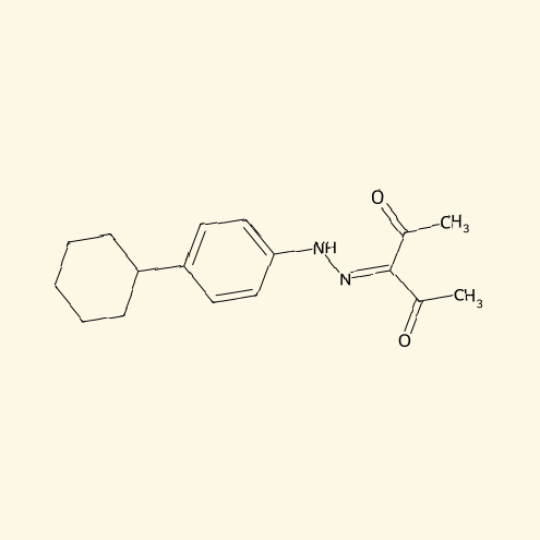 CC(=O)C(=NNc1ccc(C2CCCCC2)cc1)C(C)=O